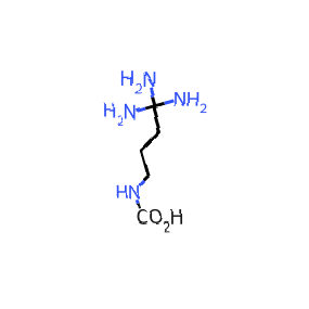 NC(N)(N)CCCNC(=O)O